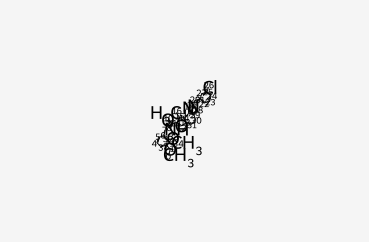 COc1cccc(CNC(=O)c2oc3c(c2C)-c2nn(Cc4cccc(Cl)c4)cc2CC3)c1OC